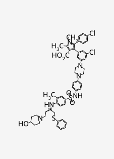 Cc1cc(S(=O)(=O)Nc2ccc(N3CCN(c4cc(Cl)cc(-c5c(C(=O)O)c(C)n(C)c5-c5ccc(Cl)cc5)c4)CC3)cc2)ccc1N[C@H](CCN1CCC(O)CC1)CSc1ccccc1